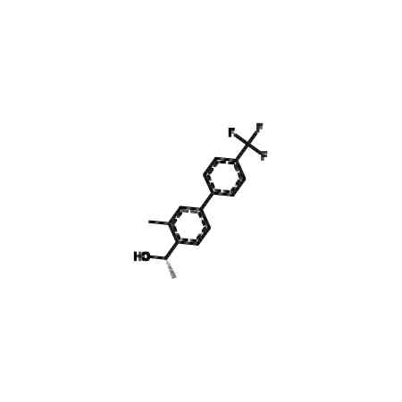 Cc1cc(-c2ccc(C(F)(F)F)cc2)ccc1[C@H](C)O